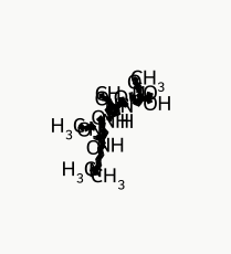 COCn1cc(NC(=O)c2cc(NC(=O)c3cc(NC(=O)CCCN(C)C)cn3COC)cn2COC)cc1C(=O)O